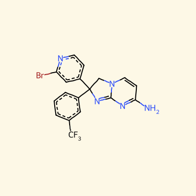 NC1=NC2=NC(c3cccc(C(F)(F)F)c3)(c3ccnc(Br)c3)CN2C=C1